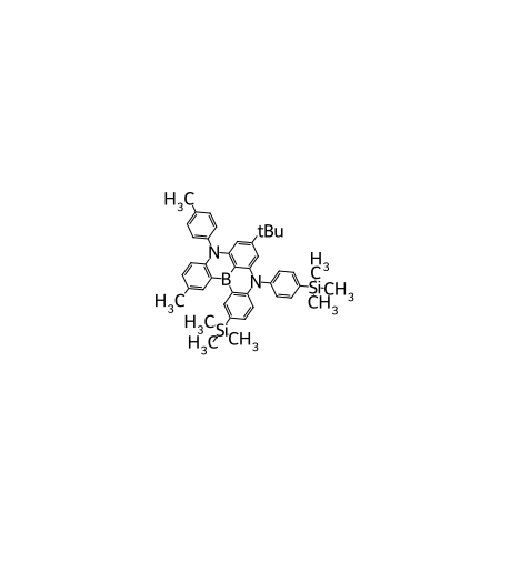 Cc1ccc(N2c3ccc(C)cc3B3c4cc([Si](C)(C)C)ccc4N(c4ccc([Si](C)(C)C)cc4)c4cc(C(C)(C)C)cc2c43)cc1